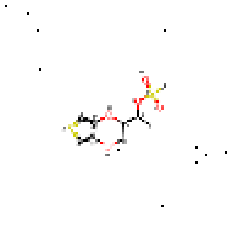 CC(OS(C)(=O)=O)C1COc2cscc2O1